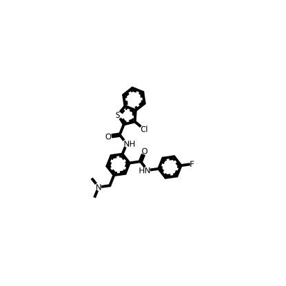 CN(C)Cc1ccc(NC(=O)c2sc3ccccc3c2Cl)c(C(=O)Nc2ccc(F)cc2)c1